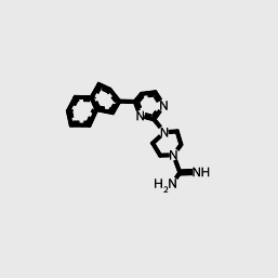 N=C(N)N1CCN(c2nccc(-c3ccc4ccccc4c3)n2)CC1